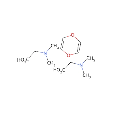 C1=COC=CO1.CN(C)CC(=O)O.CN(C)CC(=O)O